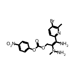 Cc1nc(/C(N)=C(\COC(=O)Oc2ccc([N+](=O)[O-])cc2)N(C)N)ccc1Br